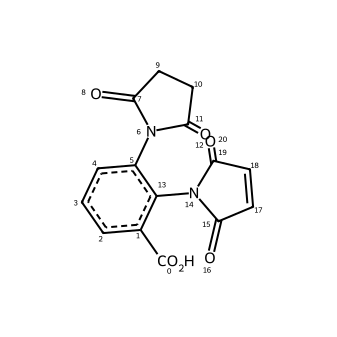 O=C(O)c1cccc(N2C(=O)CCC2=O)c1N1C(=O)C=CC1=O